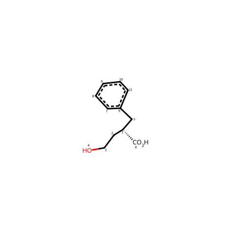 O=C(O)[C@H](CCO)Cc1ccccc1